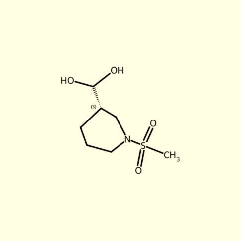 CS(=O)(=O)N1CCC[C@H](C(O)O)C1